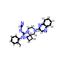 Cc1ccccc1N/C(=N/C#N)N1CCN(c2cnc3ccccc3n2)CC12CCC2